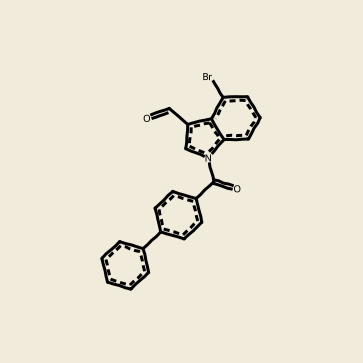 O=Cc1cn(C(=O)c2ccc(-c3ccccc3)cc2)c2cccc(Br)c12